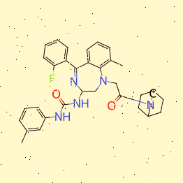 Cc1cccc(NC(=O)NC2CN(CC(=O)N3CC4CCC(CC4)C3)c3c(C)cccc3C(c3ccccc3F)=N2)c1